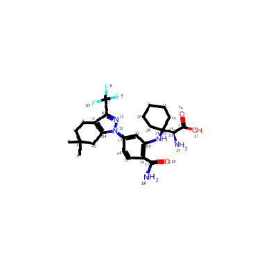 CC1(C)CCc2c(C(F)(F)F)nn(-c3ccc(C(N)=O)c(NC4([C@H](N)C(=O)O)CCCCC4)c3)c2C1